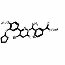 CCCCCC(=O)c1cccc(C(N)N2N=C(c3ccc(OC)c(OC4CCCC4)c3)C(CC)CC2C=O)c1